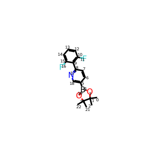 CC1(C)OB(c2ccc(-c3c(F)cccc3F)nc2)OC1(C)C